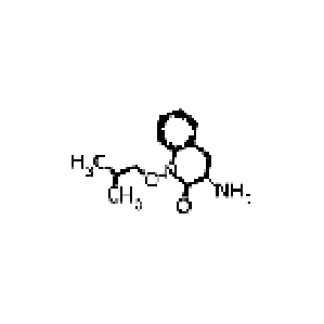 CC(C)CON1C(=O)[C@@H](N)Cc2ccccc21